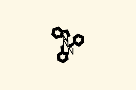 C1=c2ccccc2=NC(c2ccccc2)N1n1ccc2ccccc21